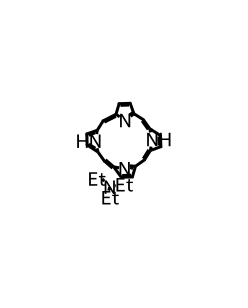 C1=Cc2cc3ccc(cc4nc(cc5ccc(cc1n2)[nH]5)C=C4)[nH]3.CCN(CC)CC